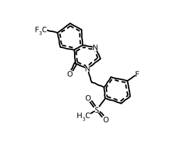 CS(=O)(=O)c1ccc(F)cc1Cn1cnc2ccc(C(F)(F)F)cc2c1=O